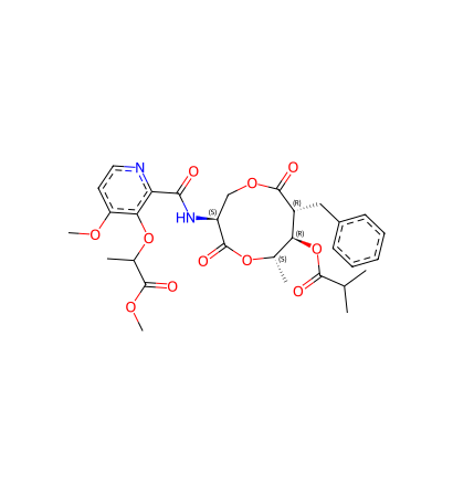 COC(=O)C(C)Oc1c(OC)ccnc1C(=O)N[C@H]1COC(=O)[C@H](Cc2ccccc2)[C@@H](OC(=O)C(C)C)[C@H](C)OC1=O